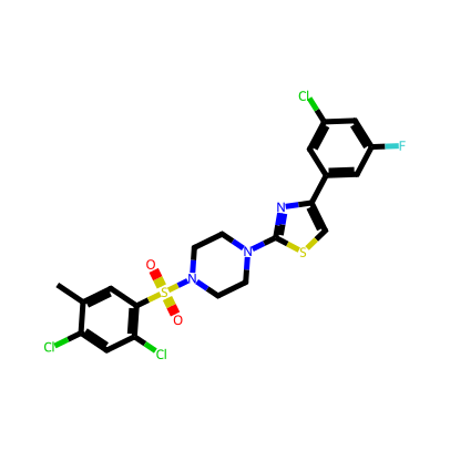 Cc1cc(S(=O)(=O)N2CCN(c3nc(-c4cc(F)cc(Cl)c4)cs3)CC2)c(Cl)cc1Cl